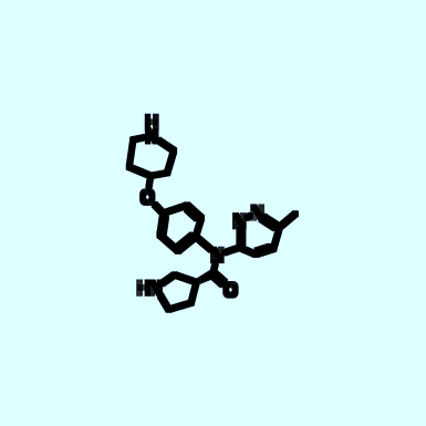 Cc1ccc(N(C(=O)[C@H]2CCNC2)c2ccc(OC3CCNCC3)cc2)nn1